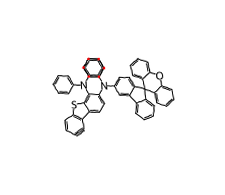 c1ccc2sc3c(N(c4ccccc4)c4ccccc4)c(N(c4ccccc4)c4ccc5c(c4)-c4ccccc4C54c5ccccc5Oc5ccccc54)ccc3c2c#1